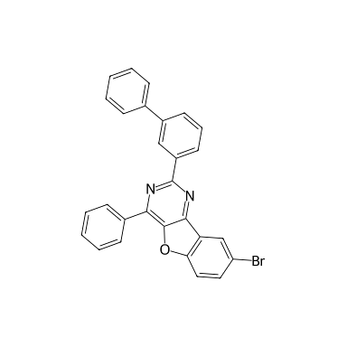 Brc1ccc2oc3c(-c4ccccc4)nc(-c4cccc(-c5ccccc5)c4)nc3c2c1